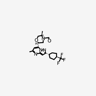 Cc1cc([C@H]2CN(C=O)[C@H](C)CO2)n2nc([C@H]3CC[C@H](C(F)(F)F)CC3)cc2n1